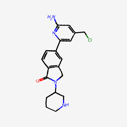 Nc1cc(CCl)cc(-c2ccc3c(c2)CN(C2CCCNC2)C3=O)n1